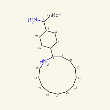 CCCCCCCCCC(N)C1CCC(C2CCCCCCCCCCCN2)CC1